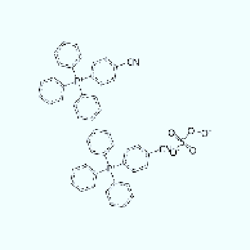 N#Cc1ccc([P+](c2ccccc2)(c2ccccc2)c2ccccc2)cc1.N#Cc1ccc([P+](c2ccccc2)(c2ccccc2)c2ccccc2)cc1.O=S(=O)([O-])O[O-]